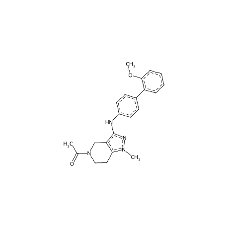 COc1ccccc1-c1ccc(Nc2nn(C)c3c2CN(C(C)=O)CC3)cc1